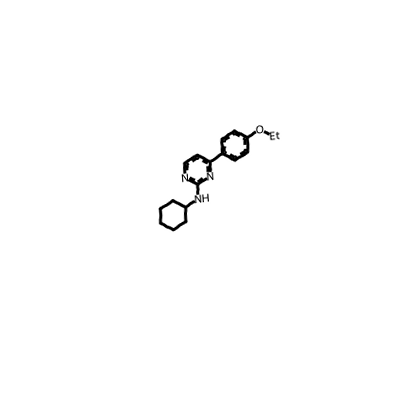 CCOc1ccc(-c2ccnc(NC3CCCCC3)n2)cc1